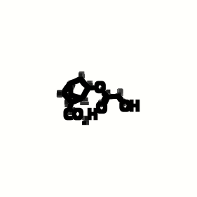 O=C(CO)OC1CC2CC(C(=O)O)C1C2